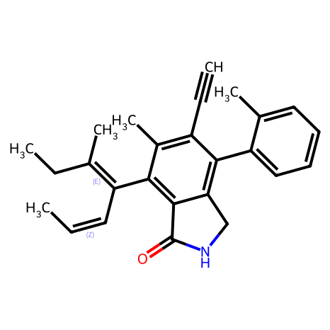 C#Cc1c(C)c(C(/C=C\C)=C(\C)CC)c2c(c1-c1ccccc1C)CNC2=O